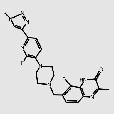 Cc1nc2ccc(CN3CCN(c4ccc(-c5cn(C)nn5)nc4F)CC3)c(F)c2[nH]c1=O